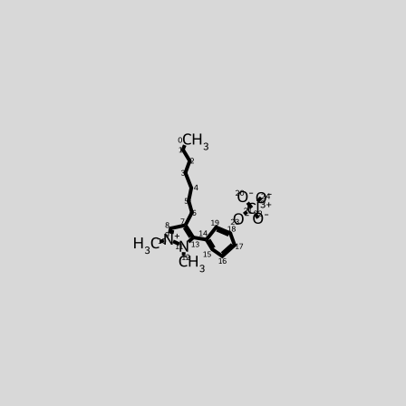 CCCCCCCc1c[n+](C)n(C)c1-c1ccccc1.[O-][Cl+3]([O-])([O-])[O-]